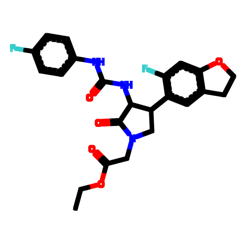 CCOC(=O)CN1CC(c2cc3c(cc2F)OCC3)C(NC(=O)Nc2ccc(F)cc2)C1=O